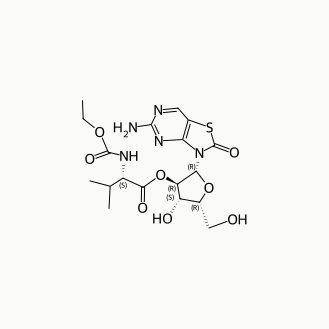 CCOC(=O)N[C@H](C(=O)O[C@@H]1[C@@H](O)[C@@H](CO)O[C@H]1n1c(=O)sc2cnc(N)nc21)C(C)C